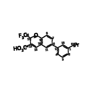 CC(C)c1cccc(-c2ccc3c(c2)C=C(C(=O)O)C(C(F)(F)F)O3)c1